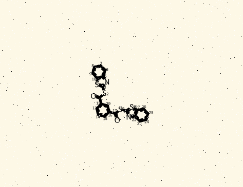 O=C(Sc1nc2ccccc2s1)c1cccc(C(=O)Sc2nc3ccccc3s2)c1